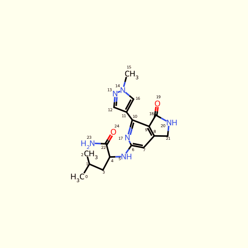 CC(C)CC(Nc1cc2c(c(-c3cnn(C)c3)n1)C(=O)NC2)C(N)=O